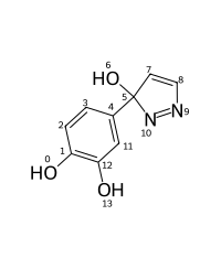 Oc1ccc(C2(O)C=CN=N2)cc1O